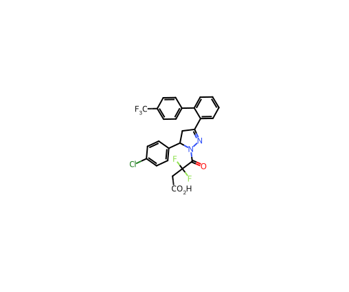 O=C(O)CC(F)(F)C(=O)N1N=C(c2ccccc2-c2ccc(C(F)(F)F)cc2)CC1c1ccc(Cl)cc1